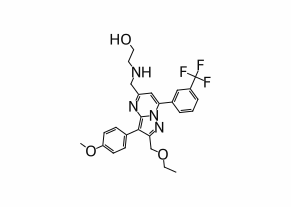 CCOCc1nn2c(-c3cccc(C(F)(F)F)c3)cc(CNCCO)nc2c1-c1ccc(OC)cc1